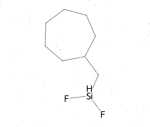 F[SiH](F)CC1CCCCCC1